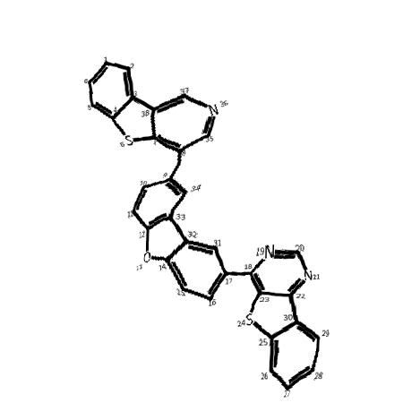 c1ccc2c(c1)sc1c(-c3ccc4oc5ccc(-c6ncnc7c6sc6ccccc67)cc5c4c3)cncc12